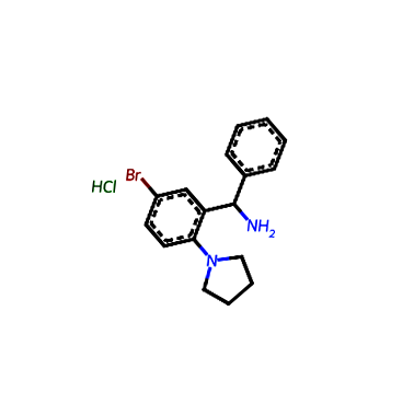 Cl.NC(c1ccccc1)c1cc(Br)ccc1N1CCCC1